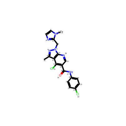 CCn1ccnc1Cn1nc(C)c2c(Cl)c(C(=O)Nc3ccc(Cl)cc3)cnc21